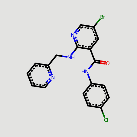 O=C(Nc1ccc(Cl)cc1)c1cc(Br)cnc1NCc1ccccn1